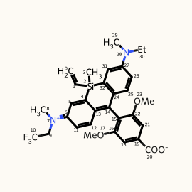 C=C[Si]1(C)C2=C/C(=[N+](\C)CC(F)(F)F)C=CC2=C(c2c(OC)cc(C(=O)[O-])cc2OC)c2ccc(N(C)CC)cc21